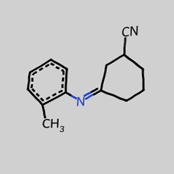 Cc1ccccc1N=C1CCCC(C#N)C1